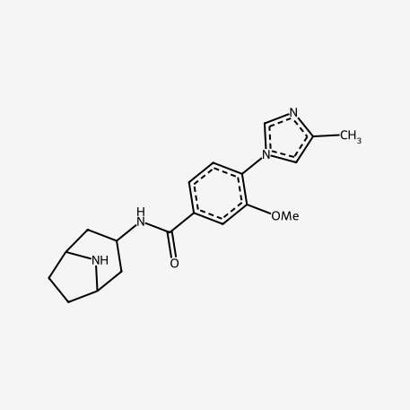 COc1cc(C(=O)NC2CC3CCC(C2)N3)ccc1-n1cnc(C)c1